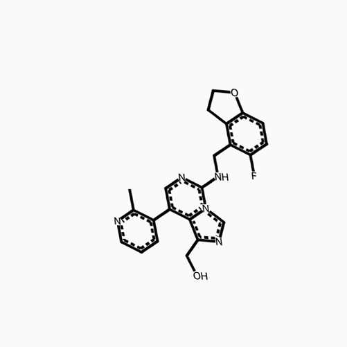 Cc1ncccc1-c1cnc(NCc2c(F)ccc3c2CCO3)n2cnc(CO)c12